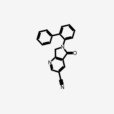 N#Cc1cnc2c(c1)C(=O)N(c1ccccc1-c1ccccc1)C2